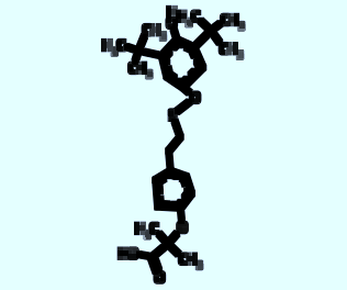 CC(C)(Oc1ccc(CCSOc2cc(C(C)(C)C)c(O)c(C(C)(C)C)c2)cc1)C(=O)O